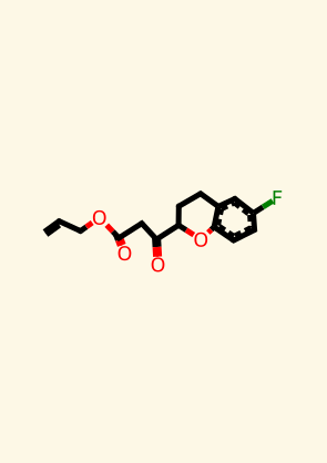 C=CCOC(=O)CC(=O)C1CCc2cc(F)ccc2O1